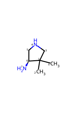 CC1(C)CNC[C@@H]1N